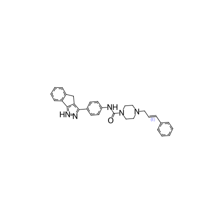 O=C(Nc1ccc(-c2n[nH]c3c2Cc2ccccc2-3)cc1)N1CCN(C/C=C/c2ccccc2)CC1